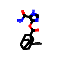 COC12CC3CC(C1)CC(C(=O)Oc1nc[nH]c1C(N)=O)(C3)C2